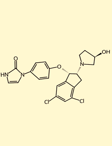 O=c1[nH]ccn1-c1ccc(O[C@H]2c3cc(Cl)cc(Cl)c3C[C@H]2N2CC[C@@H](O)C2)cc1